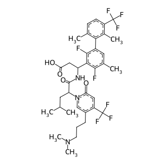 Cc1cc(-c2c(C)ccc(C(F)(F)F)c2C)c(F)c(C(CC(=O)O)NC(=O)C(CC(C)C)n2cc(CCCN(C)C)c(C(F)(F)F)cc2=O)c1F